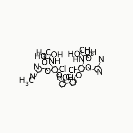 C/N=C/c1cncc(COc2cc(OCc3cccc(-c4cccc(COc5cc(OCc6cncc(C#N)c6)c(CN[C@H](C(=O)O)[C@H](C)O)cc5Cl)c4C)c3C)c(Cl)cc2CN[C@H](C(=O)O)[C@H](C)O)c1